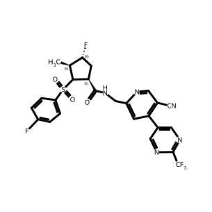 C[C@@H]1C(S(=O)(=O)c2ccc(F)cc2)[C@H](C(=O)NCc2cc(-c3cnc(C(F)(F)F)nc3)c(C#N)cn2)C[C@H]1F